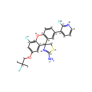 CC(C)(F)COc1cc(F)c2c(c1)C1(CSC(N)=N1)c1cc(-c3cccnc3F)ccc1O2